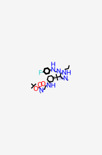 C=N/C=C(\C(=N/CNc1ccc(F)cc1)NCCC)C(C)(C)[C@@H]1CCC[C@H](NC(=O)CN(C)C(=O)OC(C)(C)C)C1